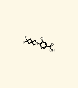 O=C(O)c1cnc(N2CC3(C2)CC(F)(F)C3)c(Cl)c1